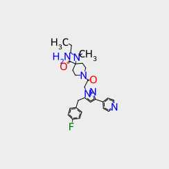 CCCN(C)C1(C(N)=O)CCN(C(=O)Cn2nc(-c3ccncc3)cc2Cc2ccc(F)cc2)CC1